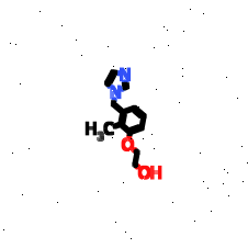 Cc1c(Cn2ccnc2)cccc1OCCO